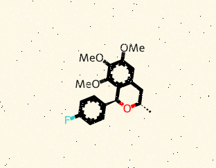 COc1cc2c(c(OC)c1OC)[C@H](c1ccc(F)cc1)O[C@@H](C)C2